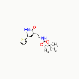 CC(C)(C)OC(=O)NCCc1cc(-c2cccs2)c[nH]c1=O